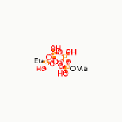 CCP(=O)(O)OP(=O)(O)OP(=O)(O)OP(=O)(O)OC